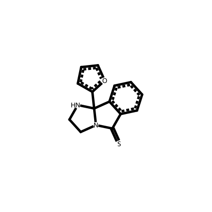 S=C1c2ccccc2C2(c3ccco3)NCCN12